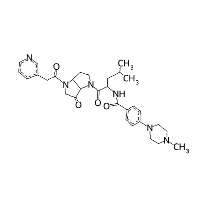 CC(C)CC(NC(=O)c1ccc(N2CCN(C)CC2)cc1)C(=O)N1CCC2C1C(=O)CN2C(=O)Cc1cccnc1